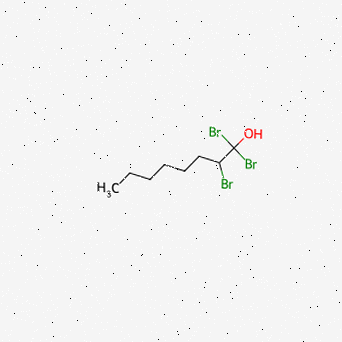 CCCCCCC(Br)C(O)(Br)Br